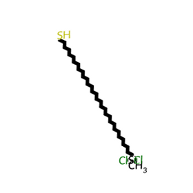 C[Si](Cl)(Cl)CCCCCCCCCCCCCCCCCCCCCCCCCCCCCCCCS